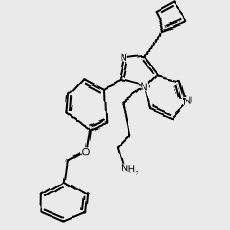 NCCC[N+]12C=CN=CC1=C(C1=CC=C1)N=C2c1cccc(OCc2ccccc2)c1